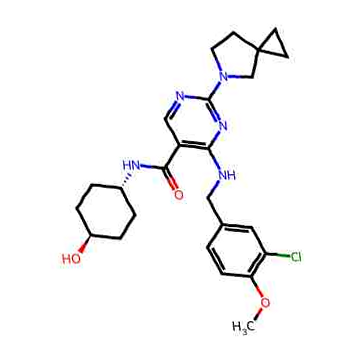 COc1ccc(CNc2nc(N3CCC4(CC4)C3)ncc2C(=O)N[C@H]2CC[C@H](O)CC2)cc1Cl